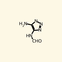 NC1=C(NC=O)N=N[N]1